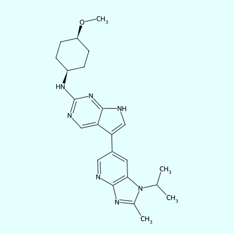 CO[C@H]1CC[C@@H](Nc2ncc3c(-c4cnc5nc(C)n(C(C)C)c5c4)c[nH]c3n2)CC1